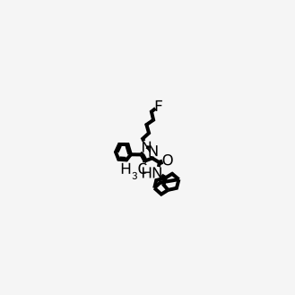 Cc1c(C(=O)NC23CC4CC(CC(C4)C2)C3)nn(CCCCCF)c1-c1ccccc1